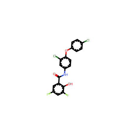 O=C(Nc1ccc(Oc2ccc(Cl)cc2)c(Cl)c1)c1cc(F)cc(F)c1O